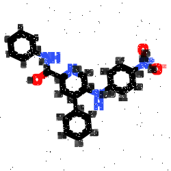 O=C(Nc1ccccc1)c1cc(-c2ccccc2)c(Nc2ccc([N+](=O)[O-])cc2)cn1